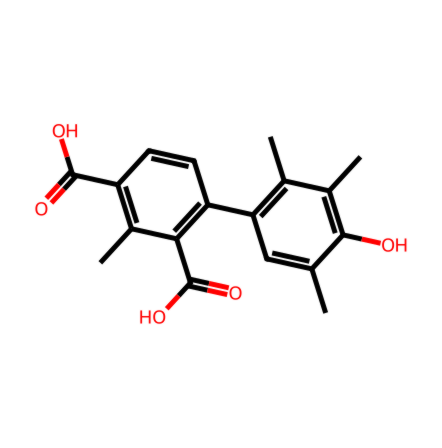 Cc1cc(-c2ccc(C(=O)O)c(C)c2C(=O)O)c(C)c(C)c1O